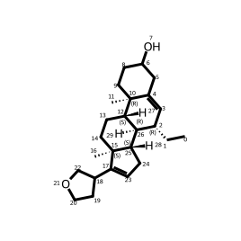 CC[C@H]1C=C2CC(O)CC[C@]2(C)[C@H]2CC[C@]3(C)C(C4CCOC4)=CC[C@H]3[C@H]12